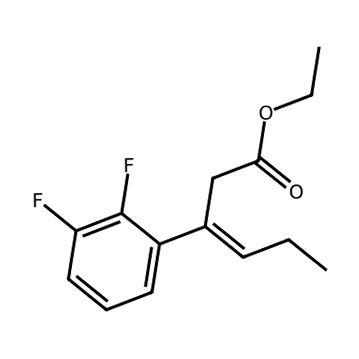 CC/C=C(\CC(=O)OCC)c1cccc(F)c1F